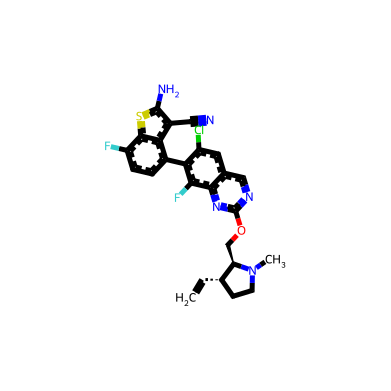 C=C[C@H]1CCN(C)[C@@H]1COc1ncc2cc(Cl)c(-c3ccc(F)c4sc(N)c(C#N)c34)c(F)c2n1